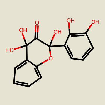 O=C1C(O)(O)c2ccccc2OC1(O)c1cccc(O)c1O